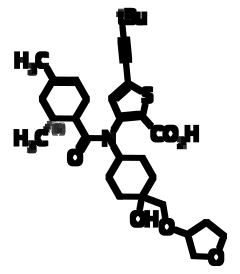 CC1=CCC(C(=O)N(c2cc(C#CC(C)(C)C)sc2C(=O)O)C2CCC(O)(COC3CCOC3)CC2)[C@H](C)C1